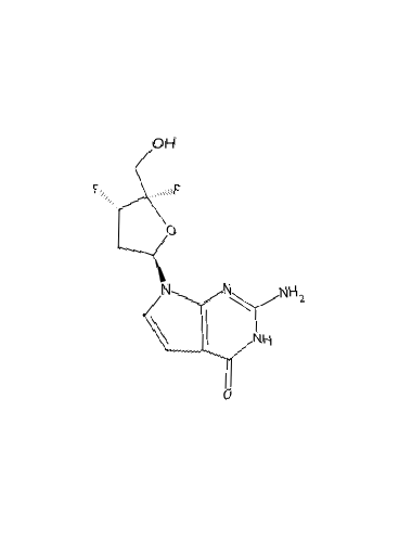 Nc1nc2c(ccn2[C@H]2C[C@H](F)[C@@](F)(CO)O2)c(=O)[nH]1